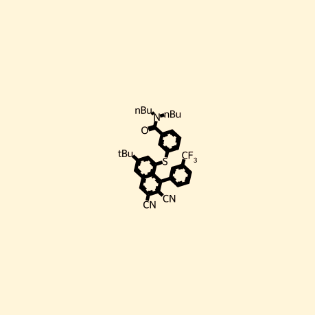 CCCCN(CCCC)C(=O)c1cccc(Sc2cc(C(C)(C)C)cc3cc(C#N)c(C#N)c(-c4cccc(C(F)(F)F)c4)c23)c1